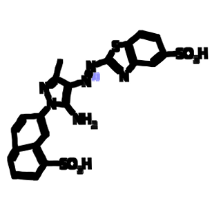 Cc1nn(-c2ccc3cccc(S(=O)(=O)O)c3c2)c(N)c1/N=N/c1nc2cc(S(=O)(=O)O)ccc2s1